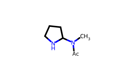 CC(=O)N(C)C1CCCN1